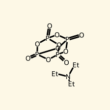 CCN(CC)CC.O=P12OP3(=O)OP(=O)(O1)OP(=O)(O2)O3